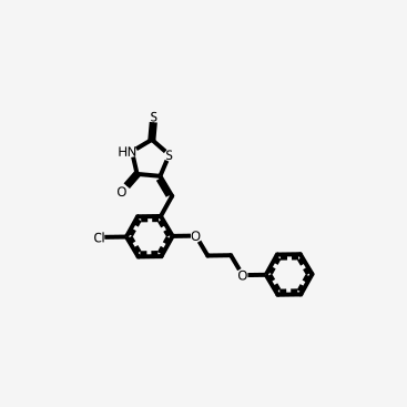 O=C1NC(=S)SC1=Cc1cc(Cl)ccc1OCCOc1ccccc1